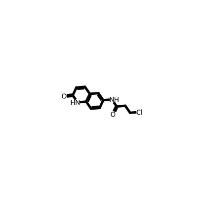 O=C(CCCl)Nc1ccc2[nH]c(=O)ccc2c1